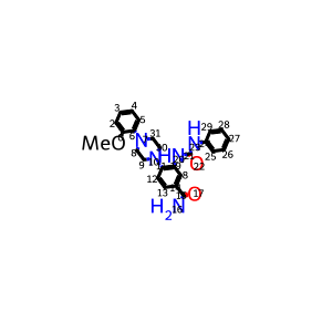 COc1ccccc1N1CCN(c2ccc(C(N)=O)cc2NC(=O)Nc2ccccc2)CC1